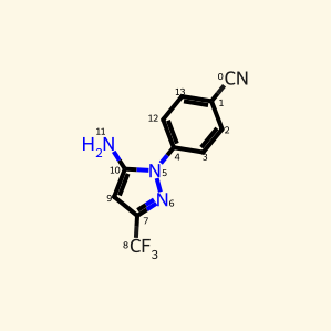 N#Cc1ccc(-n2nc(C(F)(F)F)cc2N)cc1